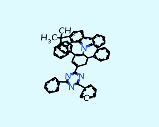 CC1(C)c2ccccc2-c2c1ccc1c3ccccc3n(C3=C(c4ccccc4)C=C(c4nc(-c5ccccc5)nc(-c5ccccc5)n4)CC3c3ccccc3)c21